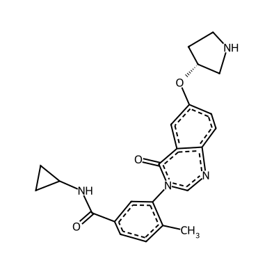 Cc1ccc(C(=O)NC2CC2)cc1-n1cnc2ccc(O[C@@H]3CCNC3)cc2c1=O